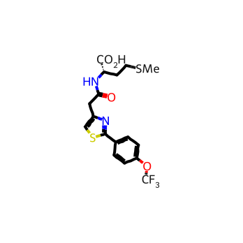 CSCC[C@H](NC(=O)Cc1csc(-c2ccc(OC(F)(F)F)cc2)n1)C(=O)O